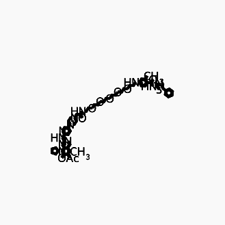 CC(=O)c1c(C)c2cnc(Nc3ccc(N4CCN(CC(=O)NCCOCCOCCOCCOCCOCCNc5ccc(C(=O)Nc6ncc(-c7ccccc7)s6)c(C)c5)CC4)cn3)nc2n(C2CCCC2)c1=O